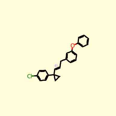 Clc1ccc(C2(/C=C/Cc3cccc(Oc4ccccc4)c3)CC2)cc1